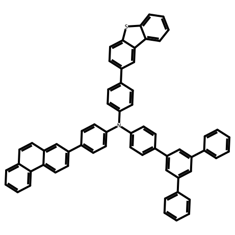 c1ccc(-c2cc(-c3ccccc3)cc(-c3ccc(N(c4ccc(-c5ccc6c(ccc7ccccc76)c5)cc4)c4ccc(-c5ccc6sc7ccccc7c6c5)cc4)cc3)c2)cc1